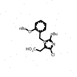 CCCCOc1ccccc1Cn1c(CCCC)nc(Cl)c1CC(=O)O